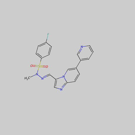 CN(N=Cc1cnc2ccc(-c3cccnc3)cn12)S(=O)(=O)c1ccc(F)cc1